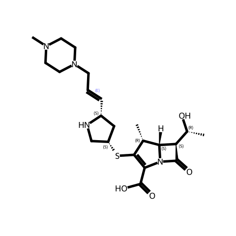 C[C@@H](O)[C@H]1C(=O)N2C(C(=O)O)=C(S[C@@H]3CN[C@H](/C=C/CN4CCN(C)CC4)C3)[C@H](C)[C@H]12